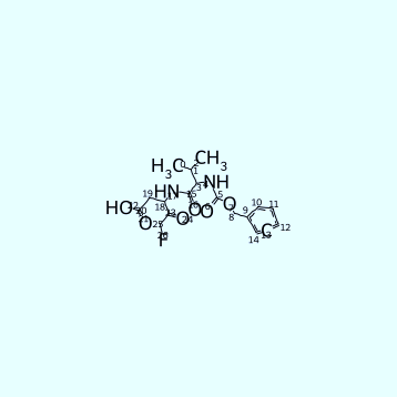 CC(C)C(NC(=O)OCc1ccccc1)C(=O)NC(CC(=O)O)C(=O)CF